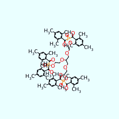 Cc1cc(C)c(C(=O)P(=O)(OCCOCC(COCCOP(=O)(C(=O)c2c(C)cc(C)cc2C)C(=O)c2c(C)cc(C)cc2C)OCCOP(=O)(C(=O)c2c(C)cc(C)cc2C)C(=O)c2c(C)cc(C)cc2C)C(=O)c2c(C)cc(C)cc2C)c(C)c1